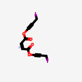 O=C(/C=C\C(=O)OC#CCI)OC#CCI